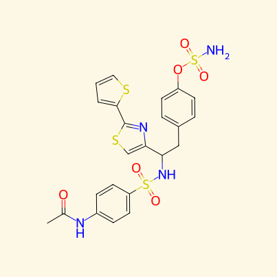 CC(=O)Nc1ccc(S(=O)(=O)NC(Cc2ccc(OS(N)(=O)=O)cc2)c2csc(-c3cccs3)n2)cc1